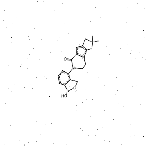 CC1(C)Cc2cc3n(c2C1)CCN(c1cccc2c1COB2O)C3=O